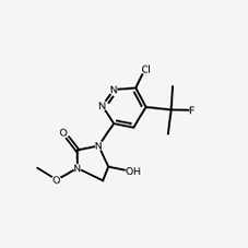 CON1CC(O)N(c2cc(C(C)(C)F)c(Cl)nn2)C1=O